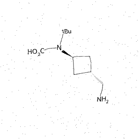 CC(C)(C)N(C(=O)O)[C@H]1C[C@H](CN)C1